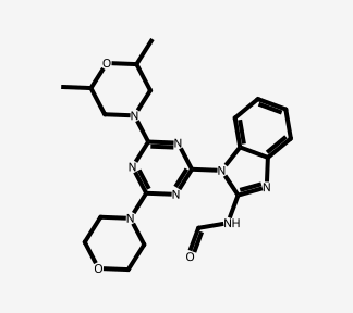 CC1CN(c2nc(N3CCOCC3)nc(-n3c(NC=O)nc4ccccc43)n2)CC(C)O1